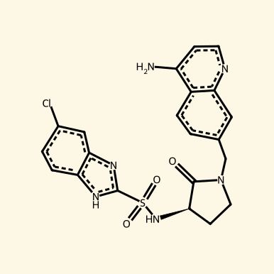 Nc1ccnc2cc(CN3CC[C@@H](NS(=O)(=O)c4nc5cc(Cl)ccc5[nH]4)C3=O)ccc12